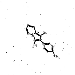 Cc1ccc(-c2c(Br)c3ccccn3c2C#N)cc1